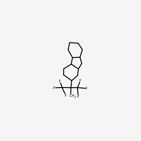 CC(C1CCC2C(CC3CCCCC32)C1)(C(F)(F)F)C(F)(F)F